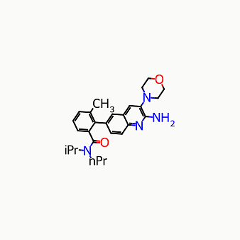 CCCN(C(=O)c1cccc(C)c1-c1ccc2nc(N)c(N3CCOCC3)cc2c1)C(C)C